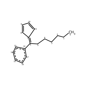 CCCCCCC(=C1C=CC=C1)c1ccccc1